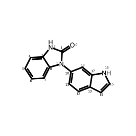 O=c1[nH]c2ccccc2n1-c1ccc2cc[nH]c2c1